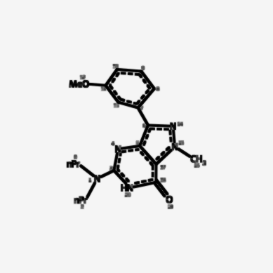 CCCN(CCC)c1nc2c(-c3cccc(OC)c3)nn(C)c2c(=O)[nH]1